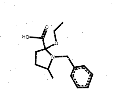 CCOC1(C(=O)O)CCC(C)N1Cc1ccccc1